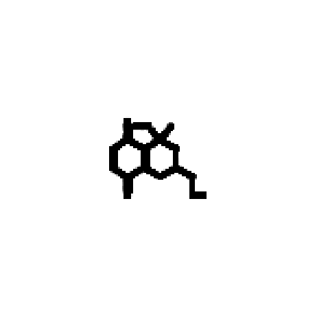 COC1(C)OC(OC=O)CC2=C1C(=O)C=CC2=O